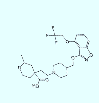 CC1CC(CCN2CCC(COc3noc4cccc(OCC(F)(F)F)c34)CC2)(C(=O)O)CCO1